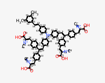 [C-]#[N+]/C(=C\c1ccc(C(=Cc2ccc(N(c3ccc(C=C(c4ccc(/C=C(\[N+]#[C-])C(=O)O)cc4)c4ccc(/C=C(\[N+]#[C-])C(=O)O)cc4)cc3)c3ccc(/C=C/c4cc(C)cc(C)c4)cc3)cc2)c2ccc(/C=C(\[N+]#[C-])C(=O)O)cc2)cc1)C(=O)O